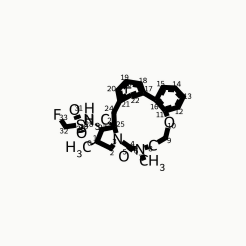 C[C@H]1CN2C(=O)N(C)CCOc3ccccc3-c3cccc(c3F)C[C@@]2(C)[C@H]1NS(=O)(=O)CF